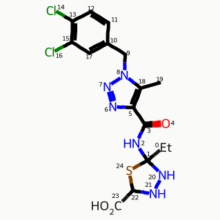 CCC1(NC(=O)c2nnn(Cc3ccc(Cl)c(Cl)c3)c2C)NNC(C(=O)O)S1